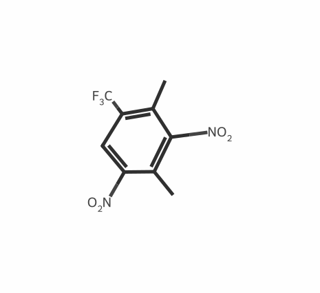 Cc1c([N+](=O)[O-])cc(C(F)(F)F)c(C)c1[N+](=O)[O-]